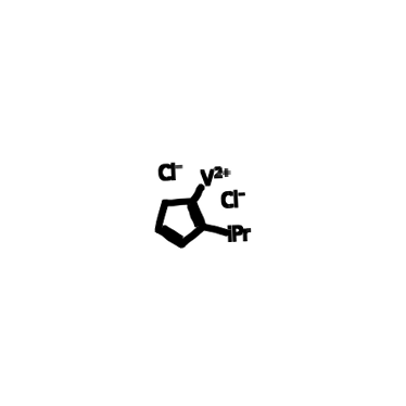 CC(C)C1=[C]([V+2])CC=C1.[Cl-].[Cl-]